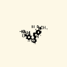 CN(C)c1ccc2nc(C3CCCN3c3ccc(C(=O)NO)cc3)ccc2c1